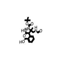 CC(C)(C)OC(=O)NC(C)(CNC=O)C(C(=O)O)c1ccccc1CO